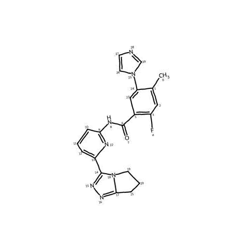 Cc1cc(F)c(C(=O)Nc2cccc(-c3nnc4n3CCC4)n2)cc1-n1ccnc1